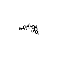 O=C1c2ccc(F)cc2CC[C@@H]2CC[C@H](c3nc(-c4ncc(Br)cn4)cs3)CN12